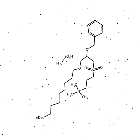 CCCCCCCCCCCCCCCCCCOCC(CS(=O)(=O)CCC[N+](C)(C)C)OCc1ccccc1.CS(=O)(=O)O